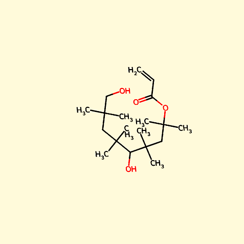 C=CC(=O)OC(C)(C)CC(C)(C)C(O)C(C)(C)CC(C)(C)CO